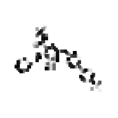 CC(C)(C)OC(=O)c1nc(Cc2ccc(-c3ccc(C(C)(C)C)cc3)cn2)nc(O)c1OCc1ccccc1